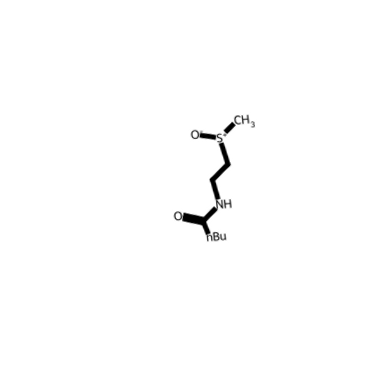 CCCCC(=O)NCC[S+](C)[O-]